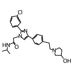 CC(C)NC(=O)Cn1cc(-c2ccc(CCN3CCC(O)C3)cc2)nc1-c1cccc(Cl)c1